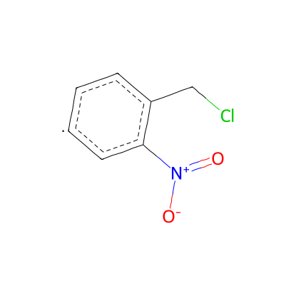 O=[N+]([O-])c1c[c]ccc1CCl